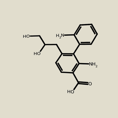 Nc1ccccc1-c1c(CC(O)CO)ccc(C(=O)O)c1N